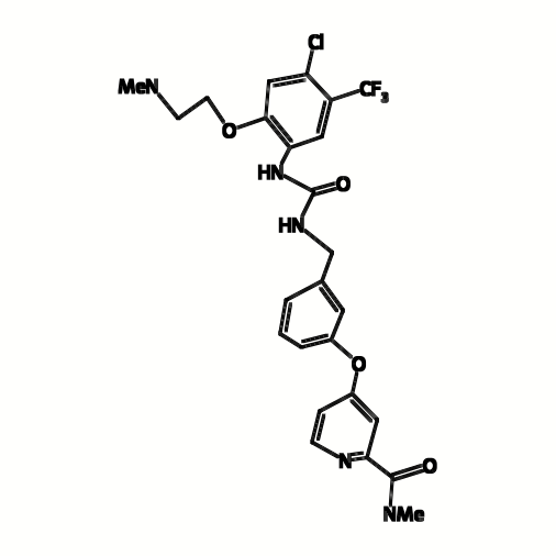 CNCCOc1cc(Cl)c(C(F)(F)F)cc1NC(=O)NCc1cccc(Oc2ccnc(C(=O)NC)c2)c1